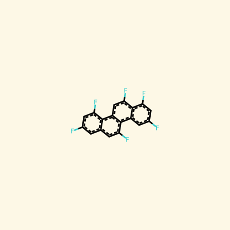 Fc1cc(F)c2c(c1)cc(F)c1c3cc(F)cc(F)c3c(F)cc21